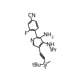 CC(C)Nc1c(C#C[Si](C)(C)C(C)(C)C)cnc(-c2ccc(C#N)cc2F)c1N